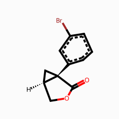 O=C1OC[C@H]2C[C@]12c1cccc(Br)c1